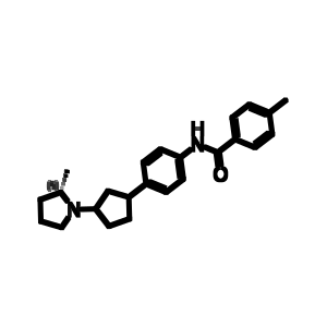 Cc1ccc(C(=O)Nc2ccc(C3CCC(N4CCC[C@@H]4C)C3)cc2)cc1